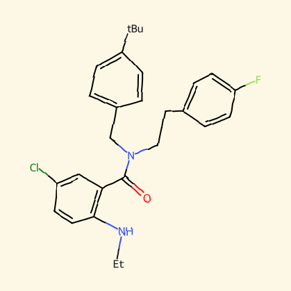 CCNc1ccc(Cl)cc1C(=O)N(CCc1ccc(F)cc1)Cc1ccc(C(C)(C)C)cc1